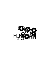 NS(=O)(=O)c1ccc(Nc2ncc3cccc(-c4ccc(N5CCOCC5)nc4)c3n2)cc1